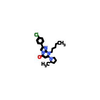 CCCCCn1c(N2CCC[C@@H]2C)cc(=O)n2cc(-c3ccc(Cl)cc3)nc12